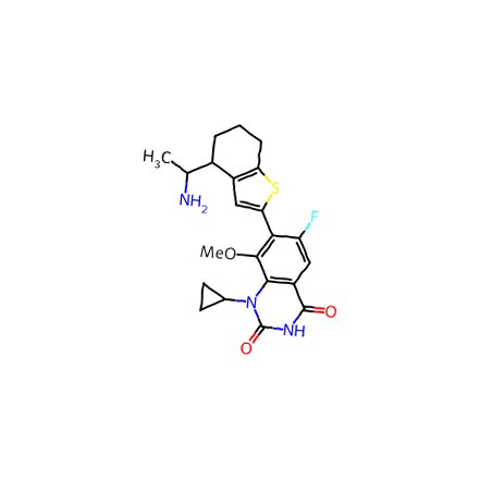 COc1c(-c2cc3c(s2)CCCC3C(C)N)c(F)cc2c(=O)[nH]c(=O)n(C3CC3)c12